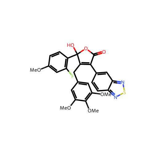 COc1ccc(C2(O)OC(=O)C(c3ccc4nsnc4c3)=C2Cc2cc(OC)c(OC)c(OC)c2)c(F)c1